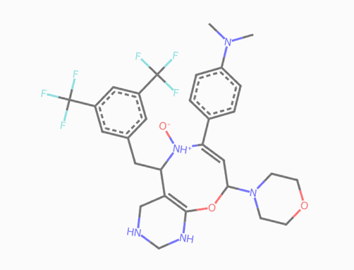 CN(C)c1ccc(/C2=C/C(N3CCOCC3)OC3=C(CNCN3)C(Cc3cc(C(F)(F)F)cc(C(F)(F)F)c3)[NH+]2[O-])cc1